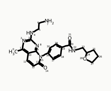 Cc1nc(NCCN)nc2c1ccc(=O)n2-c1ccc(C(=O)NCC2CCCO2)cc1